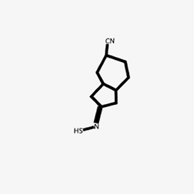 N#CC1CCC2C/C(=N/S)CC2C1